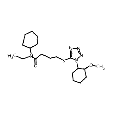 CCN(C(=O)CCCSc1nnnn1C1CCCCC1OC)C1CCCCC1